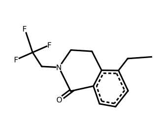 CCc1cccc2c1CCN(CC(F)(F)F)C2=O